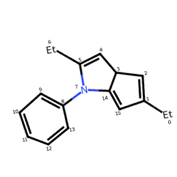 CCC1=CC2C=C(CC)N(c3ccccc3)C2=C1